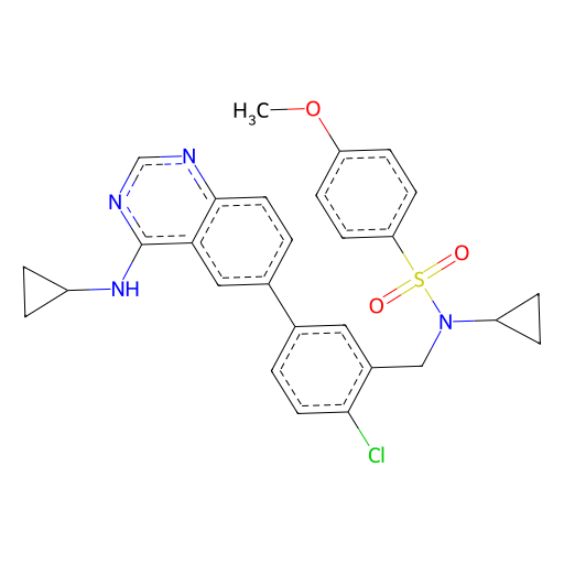 COc1ccc(S(=O)(=O)N(Cc2cc(-c3ccc4ncnc(NC5CC5)c4c3)ccc2Cl)C2CC2)cc1